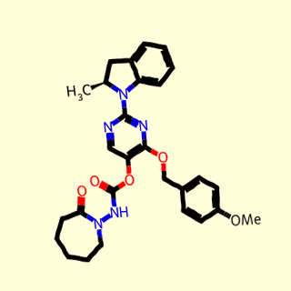 COc1ccc(COc2nc(N3c4ccccc4C[C@@H]3C)ncc2OC(=O)NN2CCCCCC2=O)cc1